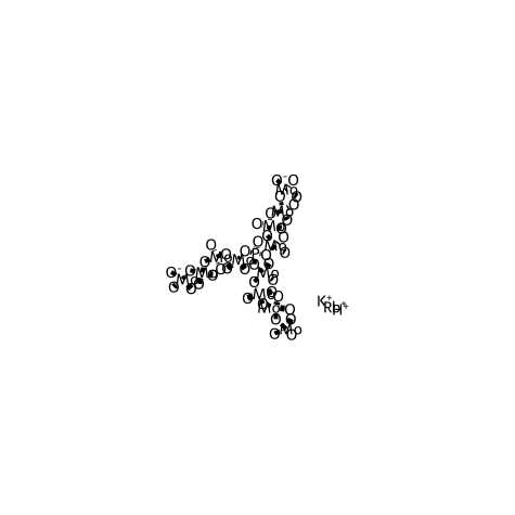 O=P([O][Mo](=[O])(=[O])[O][Mo](=[O])(=[O])[O][Mo](=[O])(=[O])[O][Mo](=[O])(=[O])[O-])([O][Mo](=[O])(=[O])[O][Mo](=[O])(=[O])[O][Mo](=[O])(=[O])[O][Mo](=[O])(=[O])[O-])[O][Mo](=[O])(=[O])[O][Mo](=[O])(=[O])[O][Mo](=[O])(=[O])[O][Mo](=[O])(=[O])[O-].[H+].[K+].[Rb+]